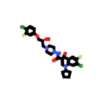 O=C(NN1CCN(C[C@@H](O)COc2ccc(Cl)c(F)c2)CC1)c1cn(C2CCCC2)c2cc(Cl)c(F)cc2c1=O